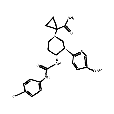 COc1ccc([C@@H]2CN(C3(C(N)=O)CC3)CC[C@H]2NC(=O)Nc2ccc(Cl)cc2)nc1